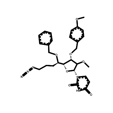 COc1ccc(CO[C@@H]2C(OC)[C@H](n3ccc(=O)[nH]c3=O)O[C@@H]2[C@@H](CCCN=[N+]=[N-])OCc2ccccc2)cc1